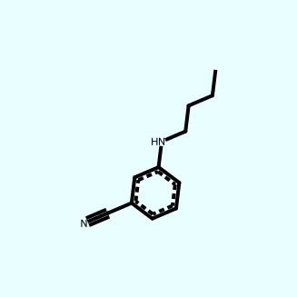 CCCCNc1cccc(C#N)c1